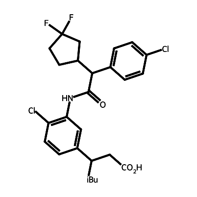 CCC(C)C(CC(=O)O)c1ccc(Cl)c(NC(=O)C(c2ccc(Cl)cc2)C2CCC(F)(F)C2)c1